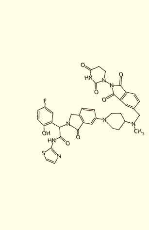 CN(Cc1ccc2c(c1)C(=O)N(N1CCC(=O)NC1=O)C2=O)C1CCN(c2ccc3c(c2)C(=O)N(C(C(=O)Nc2nccs2)c2cc(F)ccc2O)C3)CC1